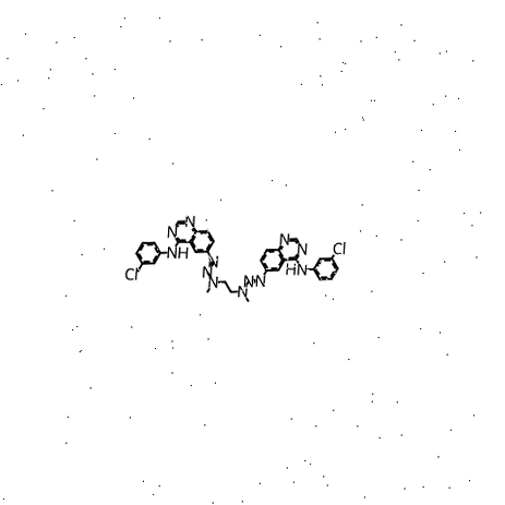 CN(CCN(C)N=Nc1ccc2ncnc(Nc3cccc(Cl)c3)c2c1)N=Nc1ccc2ncnc(Nc3cccc(Cl)c3)c2c1